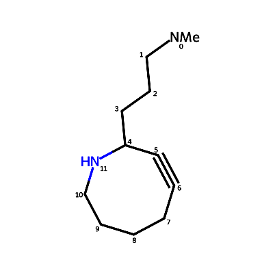 CNCCCC1C#CCCCCN1